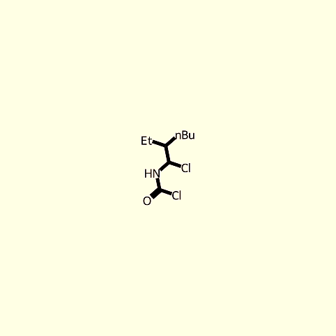 CCCCC(CC)C(Cl)NC(=O)Cl